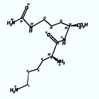 NCCCC[C@H](N)C(=O)N[C@@H](CCCNC(N)=O)C(=O)O